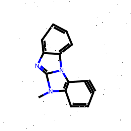 Cn1c2ccc#cc2n2c3ccccc3nc12